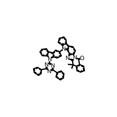 CC1(C)c2ccccc2C(=O)n2c1nc1c2ccc2c3ccccc3n(-c3ccc4c(c3)c3ccccc3n4-c3nc(-c4ccccc4)nc(-c4ccccc4)n3)c21